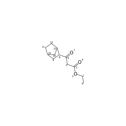 CCOC(=O)CC(=O)C1CC2CCC1C2